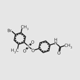 CC(=O)Nc1ccc(OS(=O)(=O)c2cc(C)c(Br)cc2C)cc1